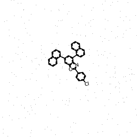 Clc1ccc(-c2nc3c(-c4cccc5ccccc45)cc(-c4cccc5ccccc45)cc3o2)cc1